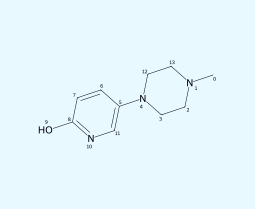 CN1CCN(c2ccc(O)nc2)CC1